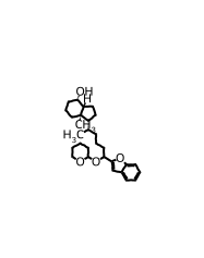 CC(CCCC(OC1CCCCO1)c1cc2ccccc2o1)[C@H]1CC[C@H]2[C@@H](O)CCC[C@]12C